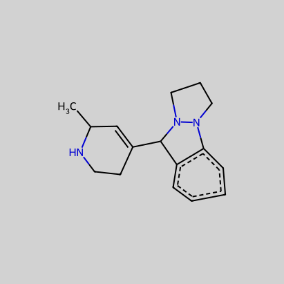 CC1C=C(C2c3ccccc3N3CCCN23)CCN1